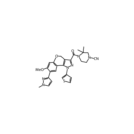 COc1cc2c(cc1-c1ccn(C)n1)-c1c(c(C(=O)N3CCN(C#N)CC3(C)C)nn1-c1ccsc1)CO2